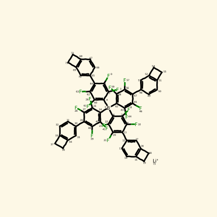 Fc1c(F)c([B-](c2c(F)c(F)c(-c3ccc4c(c3)CC4)c(F)c2F)(c2c(F)c(F)c(-c3ccc4c(c3)CC4)c(F)c2F)c2c(F)c(F)c(-c3ccc4c(c3)CC4)c(F)c2F)c(F)c(F)c1-c1ccc2c(c1)CC2.[Li+]